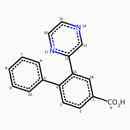 O=C(O)c1ccc(-c2ccccc2)c(-c2cnccn2)c1